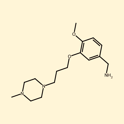 COc1ccc(CN)cc1OCCCN1CCN(C)CC1